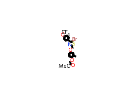 COC(=O)COc1ccc(OCc2nc(-c3ccc(OC(F)(F)F)cc3)c(Br)s2)cc1C